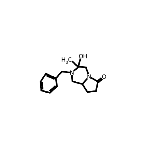 CC1(O)CN2C(=O)CCC2CN1Cc1ccccc1